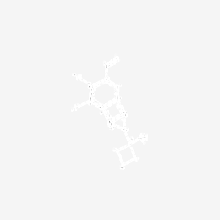 C=Cc1cc2c(c(F)c1F)n1n2C1C1(O)CCC1